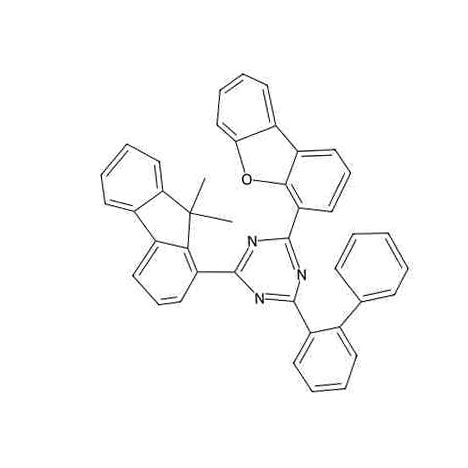 CC1(C)c2ccccc2-c2cccc(-c3nc(-c4ccccc4-c4ccccc4)nc(-c4cccc5c4oc4ccccc45)n3)c21